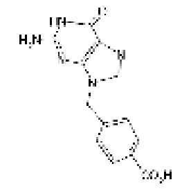 Nc1nc2c(ncn2Cc2ccc(C(=O)O)cc2)c(=O)[nH]1